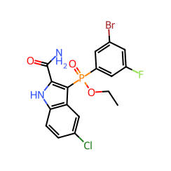 CCOP(=O)(c1cc(F)cc(Br)c1)c1c(C(N)=O)[nH]c2ccc(Cl)cc12